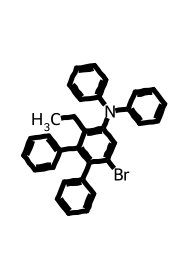 CCc1c(N(c2ccccc2)c2ccccc2)cc(Br)c(-c2ccccc2)c1-c1ccccc1